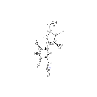 O=c1[nH]c(=O)n([C@@H]2O[C@H](CO)C(I)[C@H]2O)cc1/C=C/I